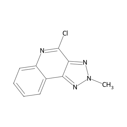 Cn1nc2c(Cl)nc3ccccc3c2n1